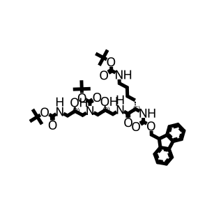 CC(C)(C)OC(=O)NCCCC[C@H](NC(=O)OCC1c2ccccc2-c2ccccc21)C(=O)NC[C@@H](O)CN(C[C@H](O)CNC(=O)OC(C)(C)C)C(=O)OC(C)(C)C